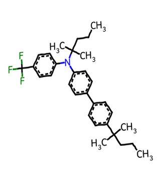 CCCC(C)(C)c1ccc(-c2ccc(N(c3ccc(C(F)(F)F)cc3)C(C)(C)CCC)cc2)cc1